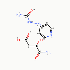 NC(=O)C(O)CC(=O)O.NNC(N)=O.c1ccncc1